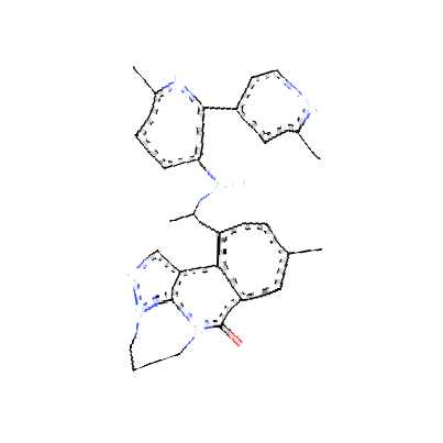 Cc1cc(C(C)Nc2ccc(C)nc2-c2ccnc(C)c2)c2c(c1)c(=O)n1c3c2cnn3CCC1